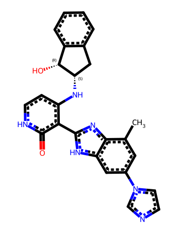 Cc1cc(-n2ccnc2)cc2[nH]c(-c3c(N[C@H]4Cc5ccccc5[C@H]4O)cc[nH]c3=O)nc12